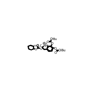 CCC(C)N[C@@](Cc1ccc(OC(=O)OCC(C)C)c(OC(=O)OCC(C)C)c1)(OC(=O)OC1CCCCC1)C(=O)O